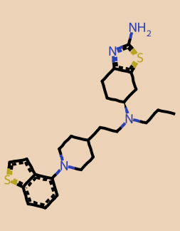 CCCN(CCC1CCN(c2cccc3sccc23)CC1)[C@H]1CCc2nc(N)sc2C1